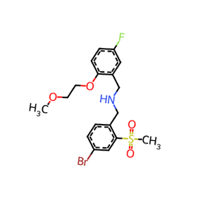 COCCOc1ccc(F)cc1CNCc1ccc(Br)cc1S(C)(=O)=O